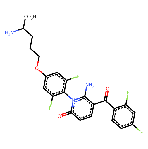 Nc1c(C(=O)c2ccc(F)cc2F)ccc(=O)n1-c1c(F)cc(OCCCC(N)C(=O)O)cc1F